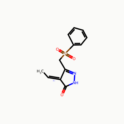 C/C=C1/C(=O)NN=C1CS(=O)(=O)c1ccccc1